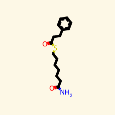 NC(=O)CCCCCCSC(=O)CCc1ccccc1